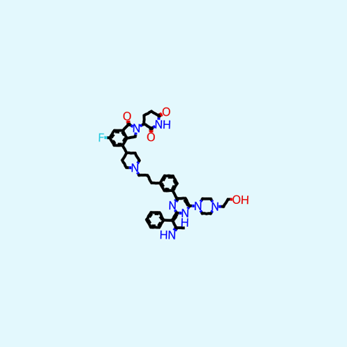 CC(=N)/C(=C1/N=C(c2cccc(CCCN3CCC(c4cc(F)cc5c4CN(C4CCC(=O)NC4=O)C5=O)CC3)c2)C=C(N2CCN(CCO)CC2)N1)c1ccccc1